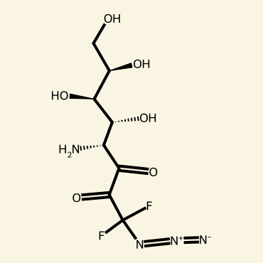 [N-]=[N+]=NC(F)(F)C(=O)C(=O)[C@H](N)[C@@H](O)[C@@H](O)[C@H](O)CO